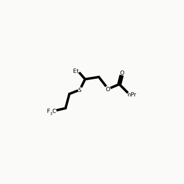 CCCC(=O)OCC(CC)SCCC(F)(F)F